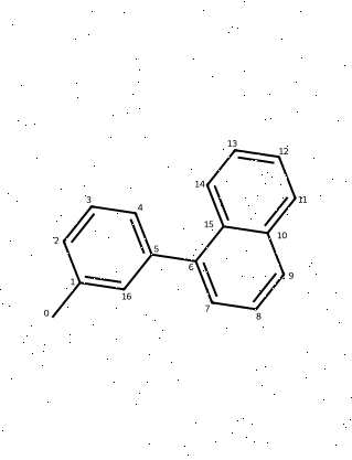 Cc1cccc(-c2cc[c]c3ccccc23)c1